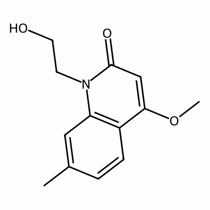 COc1cc(=O)n(CCO)c2cc(C)ccc12